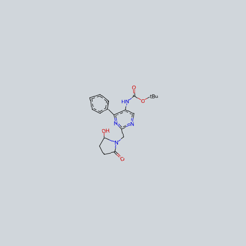 CC(C)(C)OC(=O)Nc1cnc(CN2C(=O)CCC2O)nc1-c1ccccc1